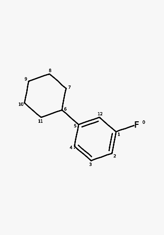 Fc1cc[c]c(C2CCCCC2)c1